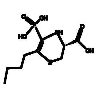 CCCCC1=C(P(=O)(O)O)N[C@H](C(=O)O)CS1